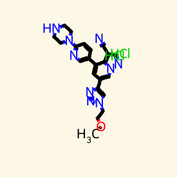 COCCn1cc(-c2cc(-c3ccc(N4CCNCC4)nc3)c3c(C#N)cnn3c2)nn1.Cl.Cl